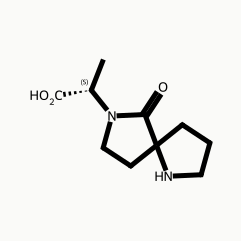 C[C@@H](C(=O)O)N1CCC2(CCCN2)C1=O